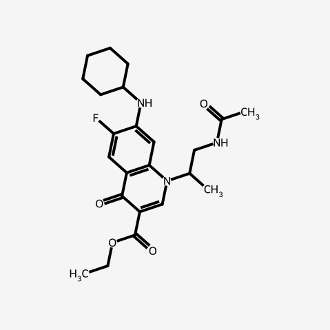 CCOC(=O)c1cn(C(C)CNC(C)=O)c2cc(NC3CCCCC3)c(F)cc2c1=O